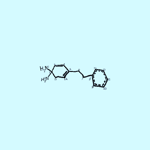 NC1(N)C=CC(CCc2ccccc2)=CC1